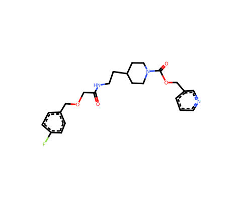 O=C(COCc1ccc(F)cc1)NCCC1CCN(C(=O)OCc2cccnc2)CC1